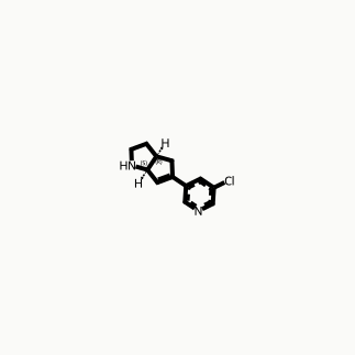 Clc1cncc(C2=C[C@H]3NCC[C@H]3C2)c1